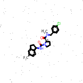 CN(Cc1ccc(Cl)cc1)C(=O)[C@H]1CCCN1C(=O)NC1CCc2cc(C(F)(F)F)ccc21